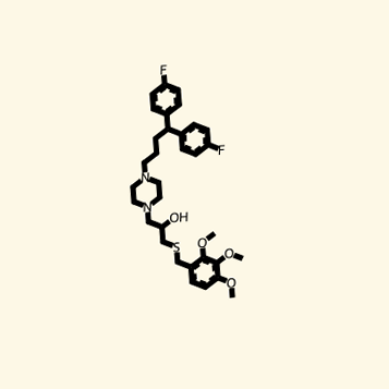 COc1ccc(CSCC(O)CN2CCN(CCCC(c3ccc(F)cc3)c3ccc(F)cc3)CC2)c(OC)c1OC